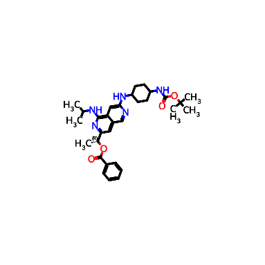 CC(C)Nc1nc([C@@H](C)OC(=O)c2ccccc2)cc2cnc(NC3CCC(NC(=O)OC(C)(C)C)CC3)cc12